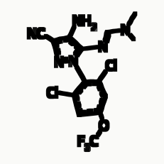 CN(C)C=Nc1c(N)c(C#N)nn1-c1c(Cl)cc(OC(F)(F)F)cc1Cl